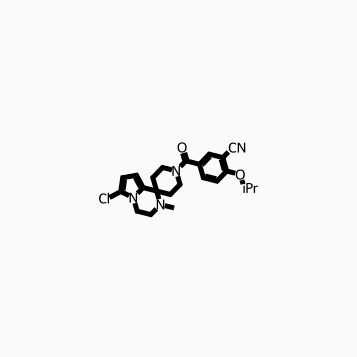 CC(C)Oc1ccc(C(=O)N2CCC3(CC2)c2ccc(Cl)n2CCN3C)cc1C#N